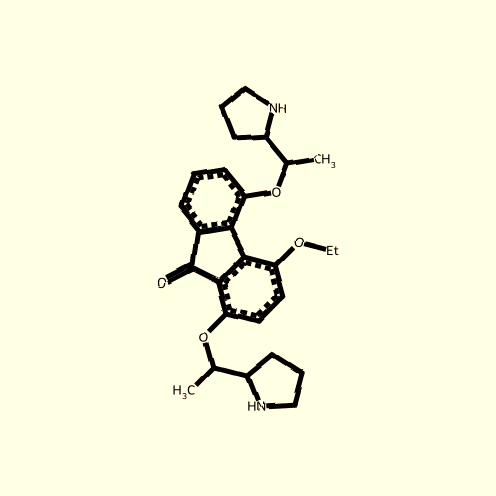 CCOc1ccc(OC(C)C2CCCN2)c2c1-c1c(OC(C)C3CCCN3)cccc1C2=O